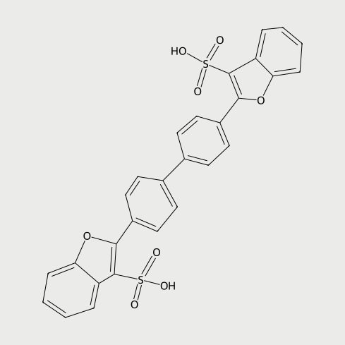 O=S(=O)(O)c1c(-c2ccc(-c3ccc(-c4oc5ccccc5c4S(=O)(=O)O)cc3)cc2)oc2ccccc12